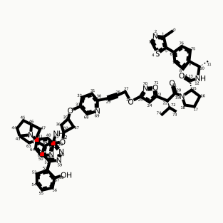 Cc1ncsc1-c1ccc([C@H](C)NC(=O)[C@@H]2CCCN2C(=O)[C@@H](c2cc(OCC#Cc3ccc(OC4CC(Oc5cc(N6C7CCC6CN(c6cc(-c8ccccc8O)nnc6N)C7)ccn5)C4)cn3)no2)C(C)C)cc1